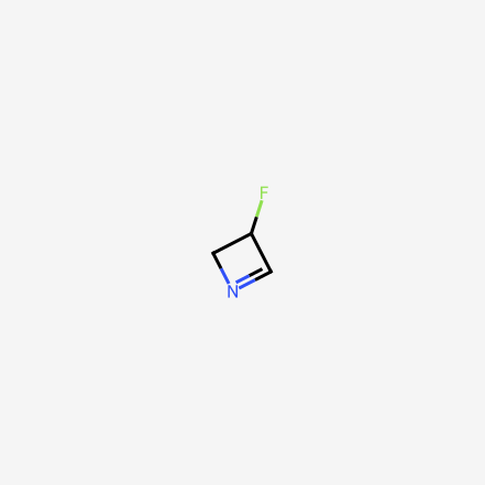 FC1C=NC1